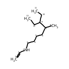 C=CNCCCCC(C)C(CC)CC